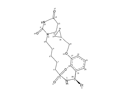 CC[C@@H](NS(=O)(=O)CCCCCN1CCC(=O)NC1=O)c1cccc(OCC2CC2)c1